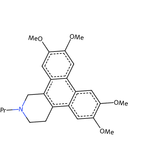 COc1cc2c3c(c4cc(OC)c(OC)cc4c2cc1OC)CN(C(C)C)CC3